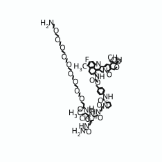 CC[C@@]1(O)C(=O)OCc2c1cc1n(c2=O)Cc2c-1nc1cc(F)c(C)c3c1c2[C@@H](NC(=O)OCc1ccc(NC(=O)[C@@H]2CCCN2C(=O)CNC(=O)[C@H](CCCNC(N)=O)NC(=O)C(NC(=O)CCOCCOCCOCCOCCOCCOCCOCCOCCOCCN)C(C)C)cc1)CC3